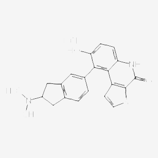 CN(C)C1Cc2ccc(-c3c(O)ccc4[nH]c(=O)c5sccc5c34)cc2C1.Cl